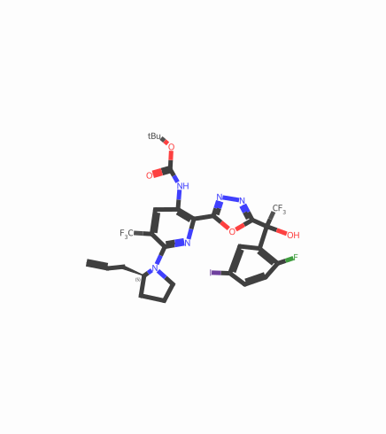 C=CC[C@@H]1CCCN1c1nc(-c2nnc(C(O)(c3cc(I)ccc3F)C(F)(F)F)o2)c(NC(=O)OC(C)(C)C)cc1C(F)(F)F